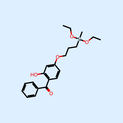 CCO[Si](C)(CCCOc1ccc(C(=O)c2ccccc2)c(O)c1)OCC